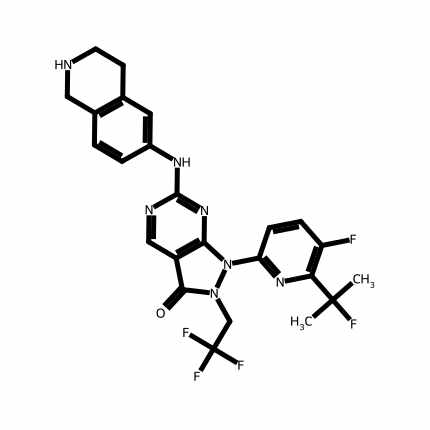 CC(C)(F)c1nc(-n2c3nc(Nc4ccc5c(c4)CCNC5)ncc3c(=O)n2CC(F)(F)F)ccc1F